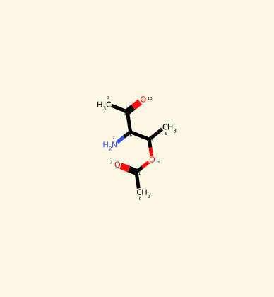 CC(=O)OC(C)C(N)C(C)=O